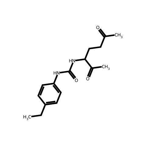 CCc1ccc(NC(=O)NC(CCC(C)=O)C(C)=O)cc1